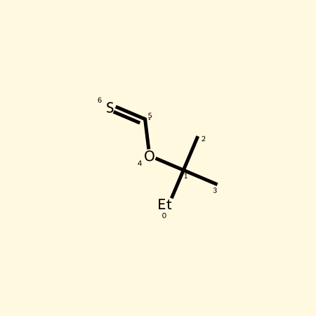 CCC(C)(C)O[C]=S